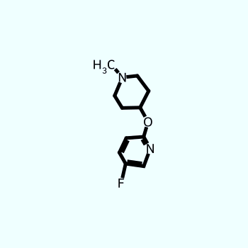 CN1CCC(Oc2ccc(F)cn2)CC1